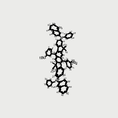 CC(C)(C)c1cccc(-c2c3c(cc4c(-c5cccc(C(C)(C)C)c5)c5c(cc24)C(C)(C)c2cc(N(c4ccccc4)c4ccc6ccccc6c4)ccc2-5)C(C)(C)c2cc(N(c4ccccc4)c4ccc5ccccc5c4)ccc2-3)c1